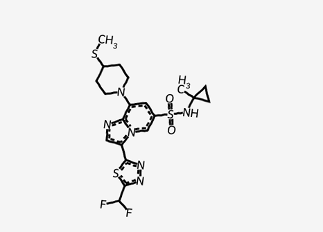 CSC1CCN(c2cc(S(=O)(=O)NC3(C)CC3)cn3c(-c4nnc(C(F)F)s4)cnc23)CC1